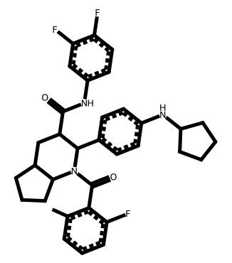 Cc1cccc(F)c1C(=O)N1C2CCCC2CC(C(=O)Nc2ccc(F)c(F)c2)C1c1ccc(NC2CCCC2)cc1